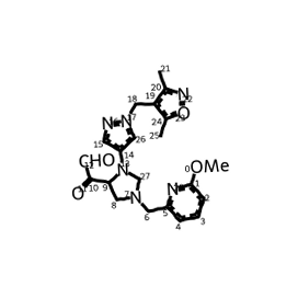 COc1cccc(CN2CC(C(=O)C=O)N(c3cnn(Cc4c(C)noc4C)c3)C2)n1